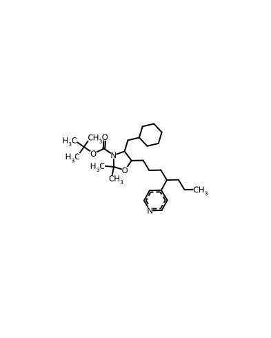 CCCC(CCCC1OC(C)(C)N(C(=O)OC(C)(C)C)C1CC1CCCCC1)c1ccncc1